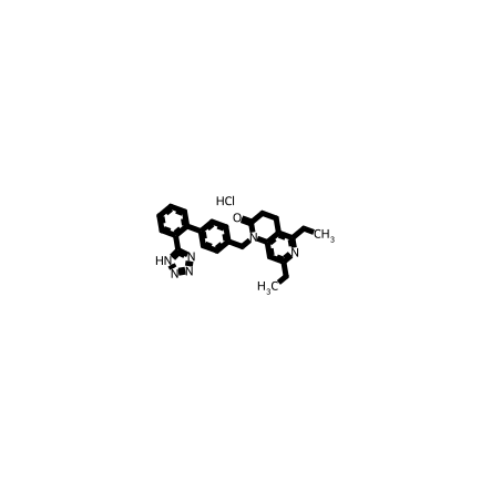 CCc1cc2c(c(CC)n1)CCC(=O)N2Cc1ccc(-c2ccccc2-c2nnn[nH]2)cc1.Cl